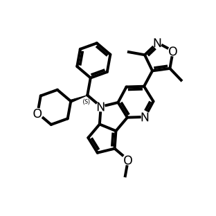 COC1=C2c3ncc(-c4c(C)noc4C)cc3N([C@H](c3ccccc3)C3CCOCC3)C2C=C1